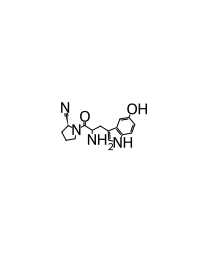 N#C[C@@H]1CCCN1C(=O)C(N)Cc1c[nH]c2ccc(O)cc12